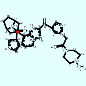 CN1CCN(C(=O)Cn2cc(Nc3nc4c(N5CC6CCC(C5)N6C(=O)c5ccsc5)cccn4n3)cn2)CC1